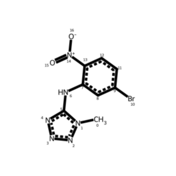 Cn1nnnc1Nc1cc(Br)ccc1[N+](=O)[O-]